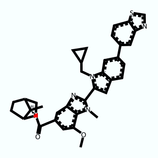 COc1cc(C(=O)N2CC3CCC2[C@@H]3C)cc2nc(-c3cc4ccc(-c5ccc6scnc6c5)cc4n3CC3CC3)n(C)c12